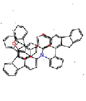 Cc1cc2c(c(-c3ccccc3N(C3=CC=C4C(=Cc5ccccc54)C34C=CC=C3C4=Cc4ccccc43)c3ccccc3-c3cccc4oc5ccccc5c34)c1C)Cc1ccccc1-2